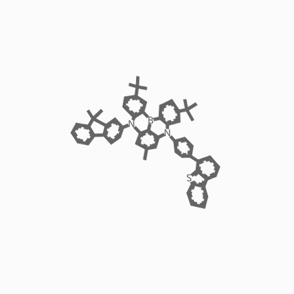 Cc1cc2c3c(c1)N(c1ccc(-c4cccc5c4sc4ccccc45)cc1)c1cc(C(C)(C)C)ccc1B3c1cc(C(C)(C)C)ccc1N2c1ccc2c(c1)C(C)(C)c1ccccc1-2